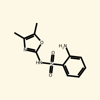 Cc1nc(NS(=O)(=O)c2ccccc2N)oc1C